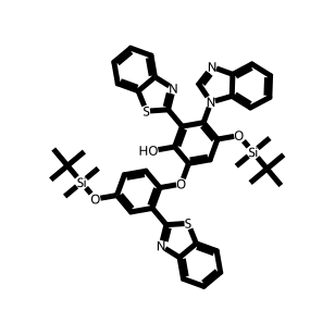 CC(C)(C)[Si](C)(C)Oc1ccc(Oc2cc(O[Si](C)(C)C(C)(C)C)c(-n3cnc4ccccc43)c(-c3nc4ccccc4s3)c2O)c(-c2nc3ccccc3s2)c1